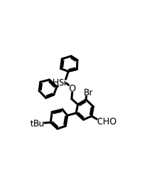 CC(C)(C)c1ccc(-c2cc(C=O)cc(Br)c2CO[SiH](c2ccccc2)c2ccccc2)cc1